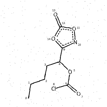 CCCCC(OC(=O)Cl)c1noc(=O)o1